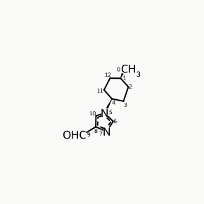 C[C@H]1CC[C@@H](n2cnc(C=O)c2)CC1